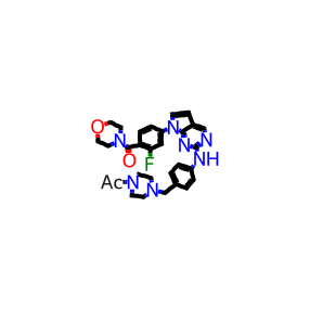 CC(=O)N1CCN(Cc2ccc(Nc3ncc4ccn(-c5ccc(C(=O)N6CCOCC6)c(F)c5)c4n3)cc2)CC1